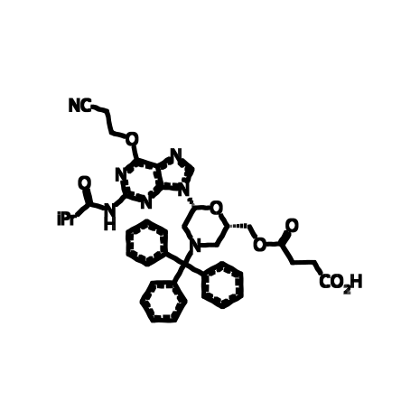 CC(C)C(=O)Nc1nc(OCCC#N)c2ncn([C@H]3CN(C(c4ccccc4)(c4ccccc4)c4ccccc4)C[C@@H](COC(=O)CCC(=O)O)O3)c2n1